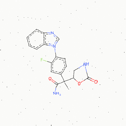 CC(C(N)=O)(c1ccc(-n2cnc3ccccc32)c(F)c1)C1CNC(=O)O1